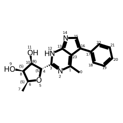 Cc1nc([C@@H]2O[C@@H](C)[C@@H](O)[C@H]2O)[nH]c2ncc(-c3ccccc3)c1-2